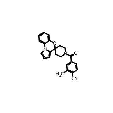 Cc1cc(C(=O)N2CCC3(CC2)Oc2ccccc2-n2cccc23)ccc1C#N